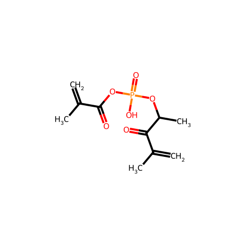 C=C(C)C(=O)OP(=O)(O)OC(C)C(=O)C(=C)C